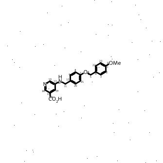 COc1ccc(COc2ccc(CNc3cncc(C(=O)O)c3)cc2)cc1